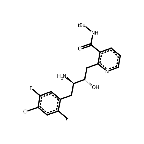 CC(C)(C)NC(=O)c1cccnc1C[C@H](O)[C@H](N)Cc1cc(F)c(Cl)cc1F